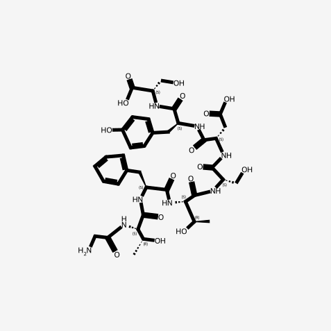 C[C@@H](O)[C@H](NC(=O)CN)C(=O)N[C@@H](Cc1ccccc1)C(=O)N[C@H](C(=O)N[C@@H](CO)C(=O)N[C@@H](CC(=O)O)C(=O)N[C@@H](Cc1ccc(O)cc1)C(=O)N[C@@H](CO)C(=O)O)[C@@H](C)O